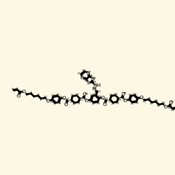 C=CC(=O)OCCCCCCOc1ccc(OC(=O)[C@H]2CC[C@H](C(=O)Oc3ccc(OC(=O)[C@H]4CC[C@H](C(=O)Oc5ccc(OCCCCCCOC(=O)C=C)cc5)CC4)c(/C=N/Nc4nc5nccnc5s4)c3)CC2)cc1